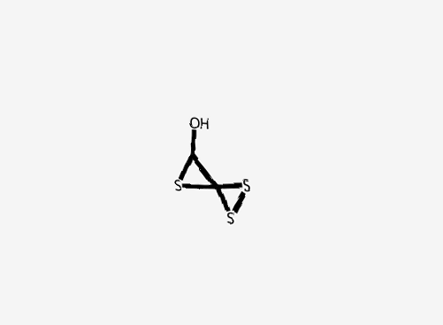 OC1SC12SS2